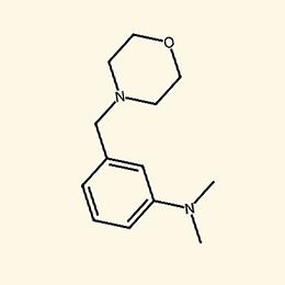 CN(C)c1cccc(CN2CCOCC2)c1